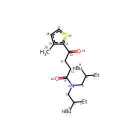 CCCCC(CC)CN(CC(CC)CCCC)C(=O)CCC(=O)c1sccc1C